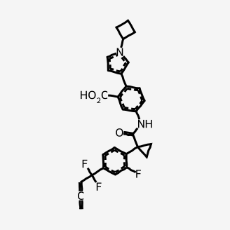 C=C=CC(F)(F)c1ccc(C2(C(=O)Nc3ccc(-c4ccn(C5CCC5)c4)c(C(=O)O)c3)CC2)c(F)c1